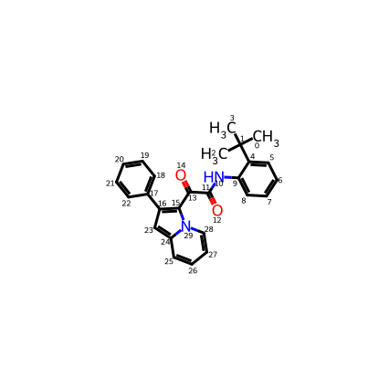 CC(C)(C)c1ccccc1NC(=O)C(=O)c1c(-c2ccccc2)cc2ccccn12